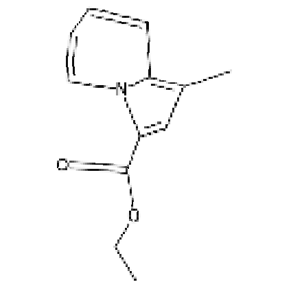 CCOC(=O)c1cc(C)c2ccccn12